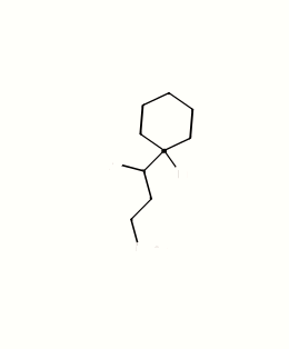 CCCCCCCCCC(C)C1(CC)CCCCC1